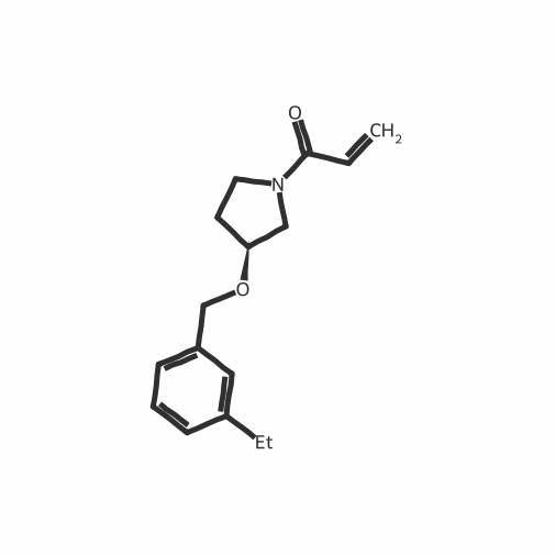 C=CC(=O)N1CC[C@H](OCc2cccc(CC)c2)C1